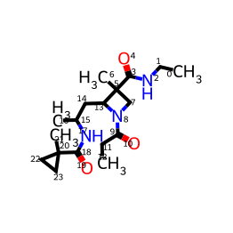 CCNC(=O)C1(C)CN(C(=O)CC)C1CC(C)NC(=O)C1(C)CC1